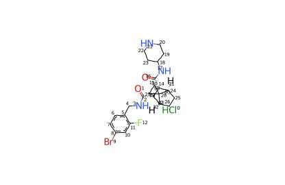 Cl.O=C(NCc1ccc(Br)cc1F)[C@@H]1[C@H](C(=O)NC2CCNCC2)[C@H]2CC[C@@H]1C21CC1